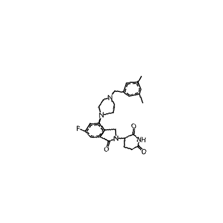 Cc1cc(C)cc(CN2CCN(c3cc(F)cc4c3CN(C3CCC(=O)NC3=O)C4=O)CC2)c1